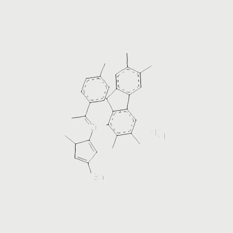 C/[C](c1ccc(C)cc1)=[Zr+2](\[C]1=CC(C(C)(C)C)=CC1C)[c]1c(C)c(C)cc2c1Cc1cc(C)c(C)cc1-2.[Cl-].[Cl-]